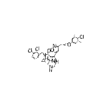 Cc1cc(OCCCc2cc(C3=C(C(=O)N(Cc4cccc(Cl)c4Cl)C4CC4)[C@H]4CNCC(C3)N4)on2)cc(C)c1Cl